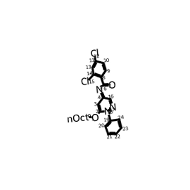 CCCCCCCCOc1cc(=NC(=O)c2ccc(Cl)cc2Cl)cnn1-c1ccccc1